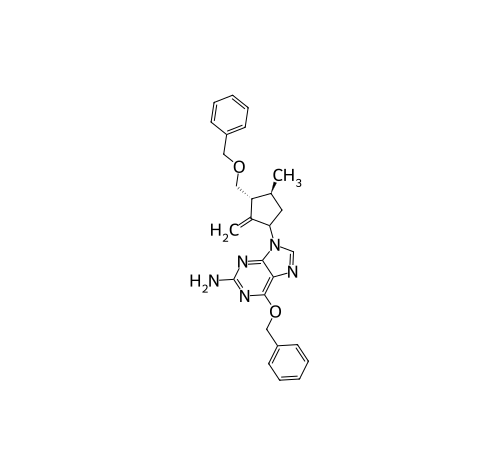 C=C1C(n2cnc3c(OCc4ccccc4)nc(N)nc32)C[C@H](C)[C@H]1COCc1ccccc1